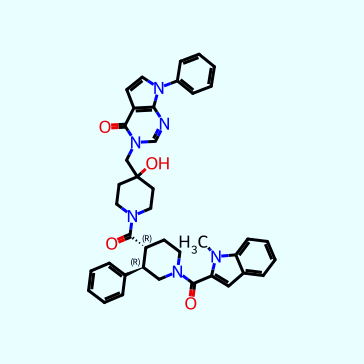 Cn1c(C(=O)N2CC[C@@H](C(=O)N3CCC(O)(Cn4cnc5c(ccn5-c5ccccc5)c4=O)CC3)[C@H](c3ccccc3)C2)cc2ccccc21